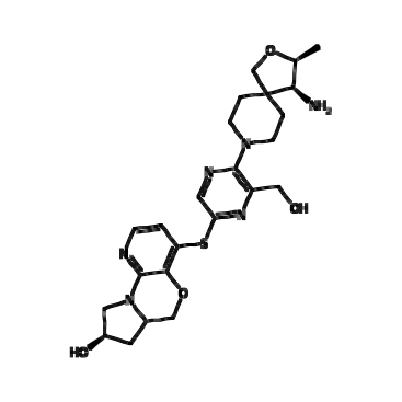 C[C@@H]1OCC2(CCN(c3ncc(Sc4ccnc5c4OCC4C[C@@H](O)CN54)nc3CO)CC2)[C@@H]1N